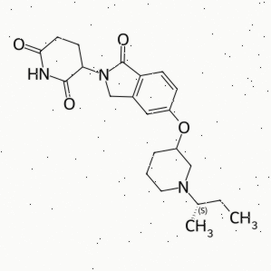 CC[C@H](C)N1CCCC(Oc2ccc3c(c2)CN(C2CCC(=O)NC2=O)C3=O)C1